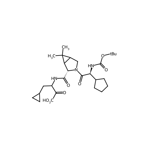 CC(C)(C)OC(=O)N[C@H](C(=O)N1CC2C([C@H]1C(=O)NC(CC1CC1)C(=O)C(=O)O)C2(C)C)C1CCCC1